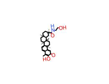 CC1=C(O)C(=O)C=C2C1=CC=C1[C@@]2(C)CC[C@@]2(C)C3C[C@](C)(C(=O)NCCO)CC[C@]3(C)CC[C@]12C